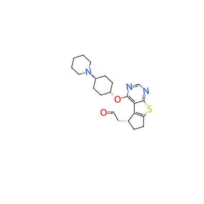 O=CC[C@H]1CCc2sc3ncnc(O[C@H]4CC[C@H](N5CCCCC5)CC4)c3c21